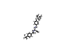 N#CC(/N=N/c1ccc(OS(=O)(=O)C(F)(F)F)cc1)=N\Nc1ccc(C(F)(F)F)cc1